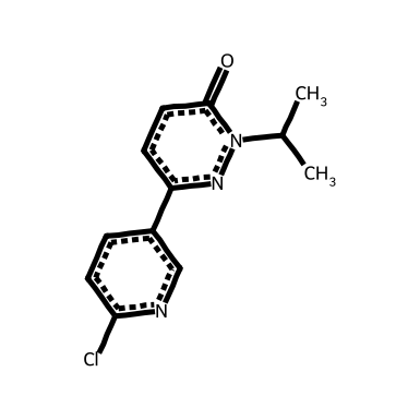 CC(C)n1nc(-c2ccc(Cl)nc2)ccc1=O